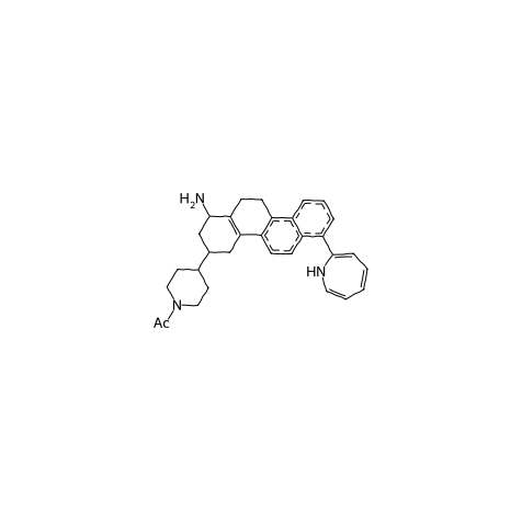 CC(=O)N1CCC(C2CC3=C(CCc4c3ccc3c(C5=CC=CC=CN5)cccc43)C(N)C2)CC1